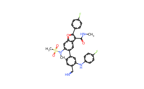 CNC(=O)c1c(-c2ccc(F)cc2)oc2cc(N(C)S(C)(=O)=O)c(-c3ccc(C=N)c(Nc4ccc(F)cc4)c3)cc12